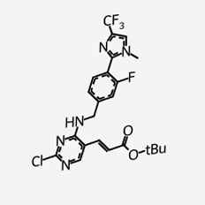 Cn1cc(C(F)(F)F)nc1-c1ccc(CNc2nc(Cl)ncc2/C=C/C(=O)OC(C)(C)C)cc1F